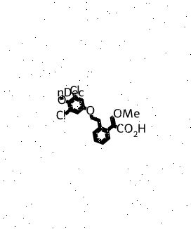 CCCCCCCCCCOc1c(Cl)cc(OCCc2ccccc2C(=COC)C(=O)O)cc1Cl